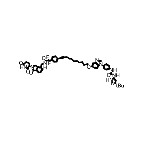 CC(C)(C)c1cc(NC(=O)Nc2ccc(-n3cnc4cc(OCCCCCCCCCC#Cc5ccc(C(F)(F)C(=O)NCc6cccc7c6CN(C6CCC(=O)NC6=O)C7=O)cc5)ccc43)cc2)[nH]n1